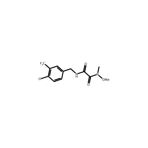 CON(C)C(=O)C(=O)NCc1ccc(Cl)c(C(F)(F)F)c1